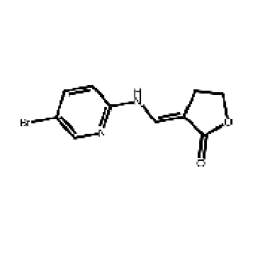 O=C1OCC/C1=C\Nc1ccc(Br)cn1